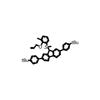 C=CCOc1c(C)cccc1[Si](C)(C)C1c2cc(-c3ccc(C(C)(C)C)cc3)ccc2-c2ccc(-c3ccc(C(C)(C)C)cc3)cc21